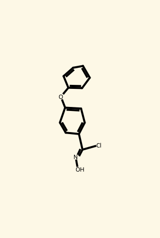 O/N=C(\Cl)c1ccc(Oc2ccccc2)cc1